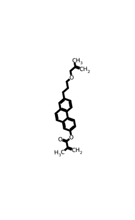 C=C(C)COCCCc1ccc2c(ccc3cc(OC(=O)C(=C)C)ccc32)c1